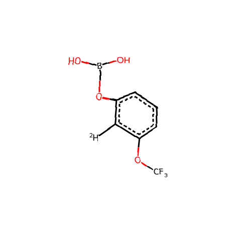 [2H]c1c(OB(O)O)cccc1OC(F)(F)F